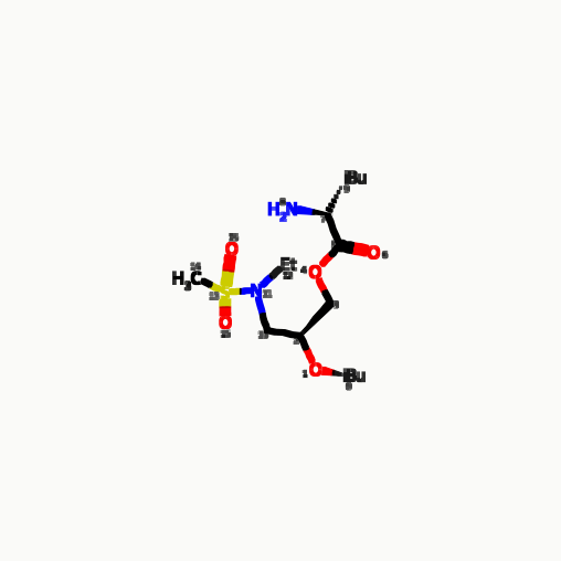 CC[C@H](C)O[C@H](COC(=O)[C@@H](N)[C@@H](C)CC)CN(CC)S(C)(=O)=O